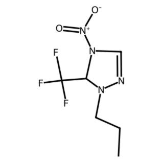 CCCN1N=CN([N+](=O)[O-])C1C(F)(F)F